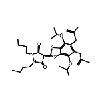 C=C(C)Cc1c(CC(=C)C)c(OC(C)C)c2c(c1OC(C)C)SC(=C1C(=O)N(CCCC)N(CCCC)C1=O)S2